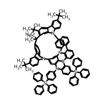 CC(C)(C)c1ccc2c(c1)c1cc3ccc1n2-c1cc2c4c(c1)N(c1ccc(cc1)-n1c5ccc(C(C)(C)C)cc5c5cc(C(C)(C)C)c(cc51)C3(C)C)c1c(cccc1-c1ccccc1)B4c1cc([Si](c3ccccc3)(c3ccccc3)c3ccccc3)ccc1N2c1ccc([Si](c2ccccc2)(c2ccccc2)c2ccccc2)cc1